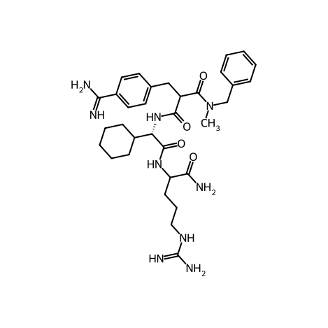 CN(Cc1ccccc1)C(=O)C(Cc1ccc(C(=N)N)cc1)C(=O)N[C@H](C(=O)NC(CCCNC(=N)N)C(N)=O)C1CCCCC1